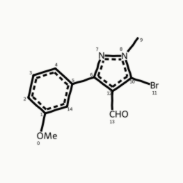 COc1cccc(-c2nn(C)c(Br)c2C=O)c1